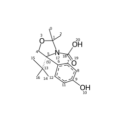 CC1(C)OC[C@@](c2ccc(O)cc2)(C(C)(C)C)N1C(=O)O